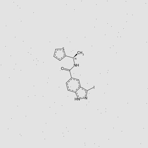 C[C@@H](NC(=O)c1ccc2[nH]nc(I)c2c1)c1cccs1